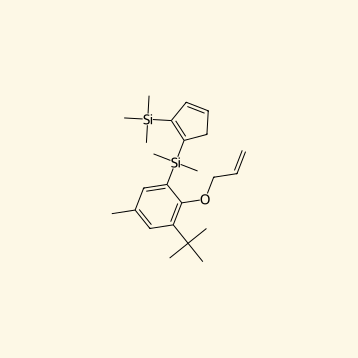 C=CCOc1c(C(C)(C)C)cc(C)cc1[Si](C)(C)C1=C([Si](C)(C)C)C=CC1